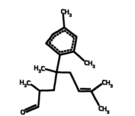 CC(C)=CCC(C)(CC(C)C=O)c1ccc(C)cc1C